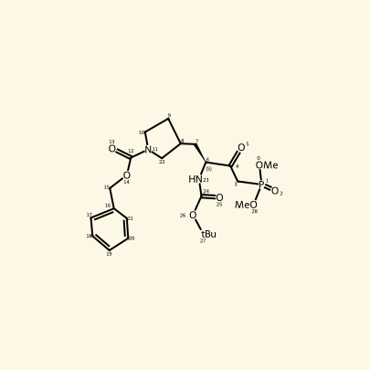 COP(=O)(CC(=O)[C@H](CC1CCN(C(=O)OCc2ccccc2)C1)NC(=O)OC(C)(C)C)OC